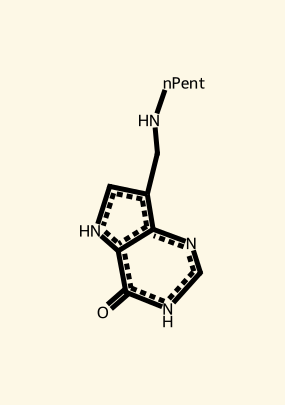 CCCCCNCc1c[nH]c2c(=O)[nH]cnc12